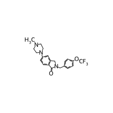 CN1CCN(c2ccc3c(c2)CN(Cc2ccc(OC(F)(F)F)cc2)C3=O)CC1